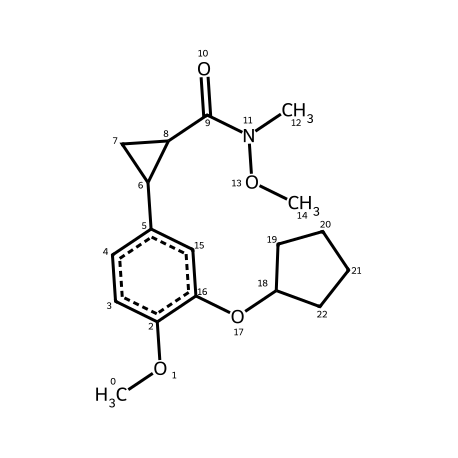 COc1ccc(C2CC2C(=O)N(C)OC)cc1OC1CCCC1